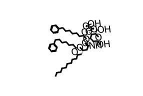 CCCCCCCCCCC[C@@H](CC(=O)N[C@H]1C(O)O[C@H](CO)[C@@H](OS(=O)(=O)O)[C@@H]1OC(=O)CCCCCCc1ccccc1)OC(=O)CCCCCCc1ccccc1